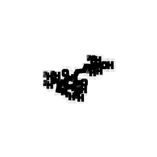 [2H]C([2H])([2H])n1cnc2c1c(=O)n(CCCC([2H])([2H])C([2H])([2H])O)c(=O)n2C([2H])([2H])[2H]